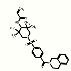 C=CC(=O)NC1C(C)(C)CN(S(=O)(=O)c2ccc(C(=O)N3CCc4ccccc4C3)cc2)CC1(C)C